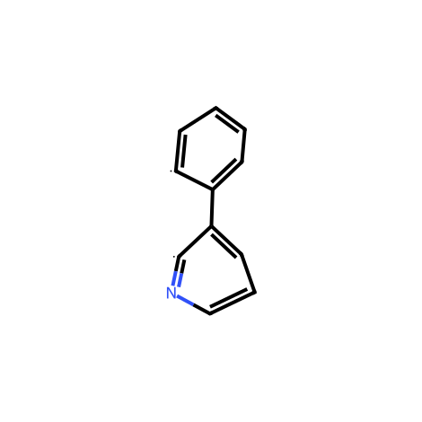 [c]1ccccc1-c1[c]nccc1